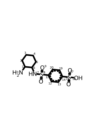 NC1CCCCC1NS(=O)(=O)c1ccc(S(=O)(=O)O)cc1